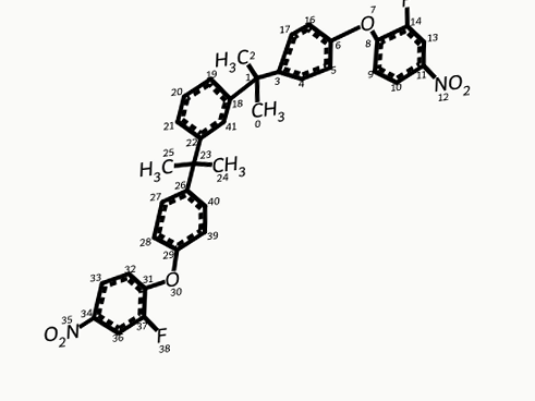 CC(C)(c1ccc(Oc2ccc([N+](=O)[O-])cc2F)cc1)c1cccc(C(C)(C)c2ccc(Oc3ccc([N+](=O)[O-])cc3F)cc2)c1